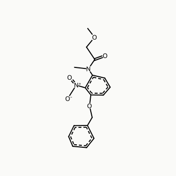 COCC(=O)N(C)c1cccc(OCc2ccccc2)c1[N+](=O)[O-]